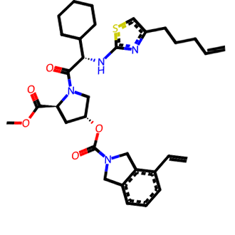 C=CCCCc1csc(N[C@H](C(=O)N2C[C@H](OC(=O)N3Cc4cccc(C=C)c4C3)C[C@H]2C(=O)OC)C2CCCCC2)n1